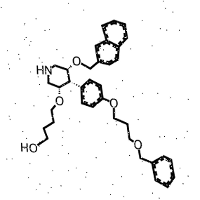 OCCCCO[C@@H]1CNC[C@H](OCc2ccc3ccccc3c2)[C@@H]1c1ccc(OCCCOCc2ccccc2)cc1